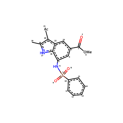 COC(=O)c1cc(NS(=O)(=O)c2ccccc2)c2[nH]c(C)c(C(C)=O)c2c1